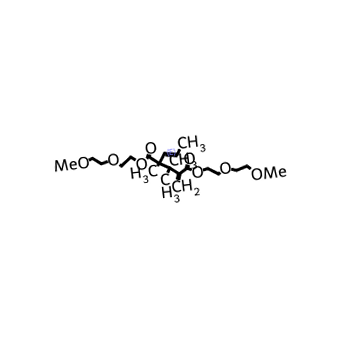 C=C(C(=O)OCCOCCOC)C(C)(C)C(C)(/C=C/C)C(=O)OCCOCCOC